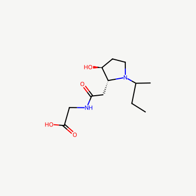 CCC(C)N1CC[C@H](O)[C@H]1CC(=O)NCC(=O)O